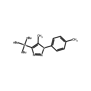 CCC[CH2][Sn]([CH2]CCC)([CH2]CCC)[c]1nnn(-c2ccc(C)cc2)c1C